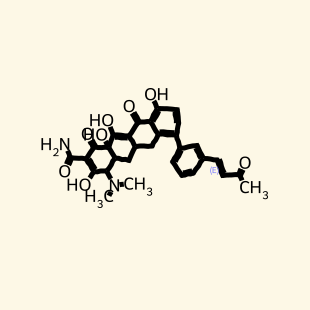 CC(=O)/C=C/c1cccc(-c2ccc(O)c3c2CC2CC4C(N(C)C)C(O)=C(C(N)=O)C(=O)C4(O)C(O)=C2C3=O)c1